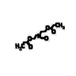 CCC(=O)OCCN(C=O)CCOC(=O)CC